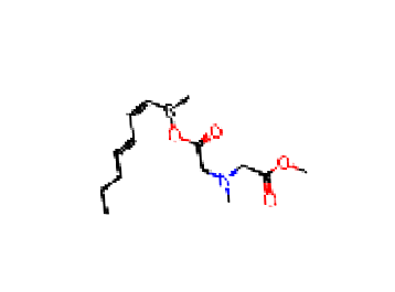 CCC/C=C/C=C\B(C)OC(=O)CN(C)CC(=O)OC